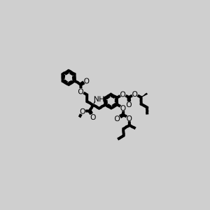 CCCC(C)OC(=O)Oc1cc(C[C@](N)(CCOC(=O)c2ccccc2)C(=O)OC)ccc1OC(=O)O[C@@H](C)CCC